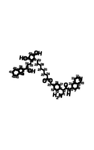 NCC(C(=O)Nc1ccc2cnccc2c1)c1ccc(COC(=O)CCCCCCC[C@@H]2[C@@H](CC[C@@H](O)c3cc4ccccc4s3)[C@H](O)C[C@@H]2O)cc1